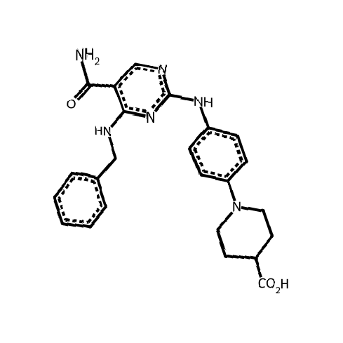 NC(=O)c1cnc(Nc2ccc(N3CCC(C(=O)O)CC3)cc2)nc1NCc1ccccc1